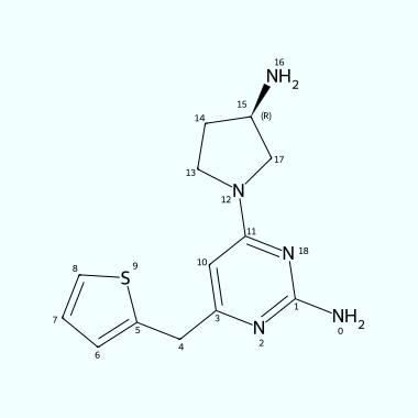 Nc1nc(Cc2cccs2)cc(N2CC[C@@H](N)C2)n1